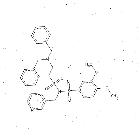 COc1ccc(S(=O)(=O)N(Cc2cccnc2)S(=O)(=O)CCN(Cc2ccccc2)Cc2ccccc2)cc1OC